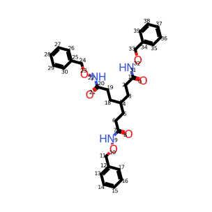 O=C(CC[C](CCC(=O)NOCc1ccccc1)CCC(=O)NOCc1ccccc1)NOCc1ccccc1